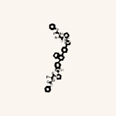 CC(C)[C@H](NC(=O)Oc1ccccc1)C(=O)N1CCC[C@H]1c1ncc(-c2ccc(-c3ccc(-c4ccc5nc([C@@H]6CCCN6C(=O)[C@@H](NC(=O)Oc6ccccc6)C(C)C)[nH]c5c4)c4c3C3CCC4CC3)cc2)[nH]1